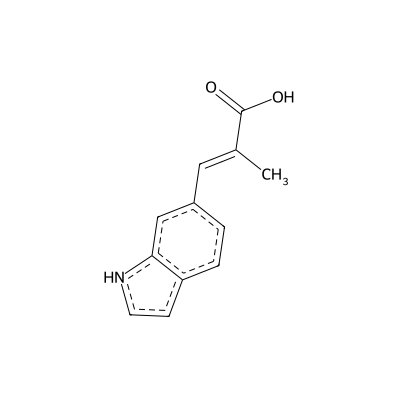 C/C(=C\c1ccc2cc[nH]c2c1)C(=O)O